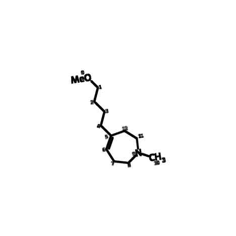 COCCCCC1=CCCN(C)CC1